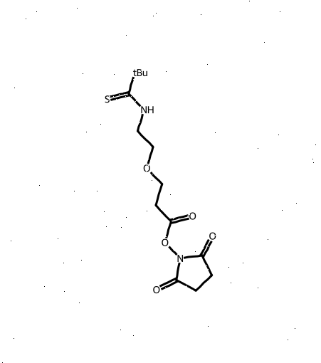 CC(C)(C)C(=S)NCCOCCC(=O)ON1C(=O)CCC1=O